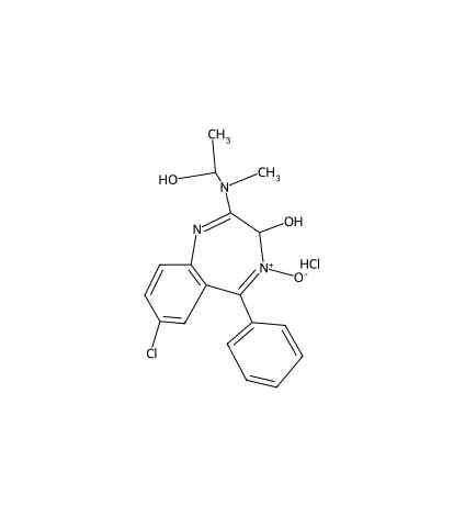 CC(O)N(C)C1=Nc2ccc(Cl)cc2C(c2ccccc2)=[N+]([O-])C1O.Cl